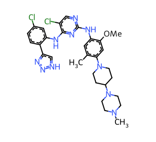 COc1cc(N2CCC(N3CCN(C)CC3)CC2)c(C)cc1Nc1ncc(Cl)c(Nc2cc(Cl)ccc2-c2c[nH]nn2)n1